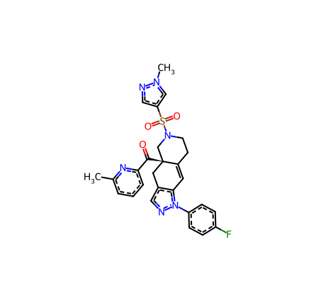 Cc1cccc(C(=O)[C@]23Cc4cnn(-c5ccc(F)cc5)c4C=C2CCN(S(=O)(=O)c2cnn(C)c2)C3)n1